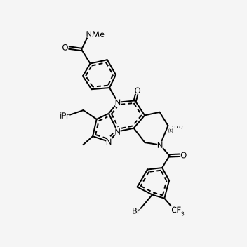 CNC(=O)c1ccc(-n2c(=O)c3c(n4nc(C)c(CC(C)C)c24)CN(C(=O)c2ccc(Br)c(C(F)(F)F)c2)[C@@H](C)C3)cc1